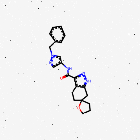 O=C(Nc1cnn(Cc2ccccc2)c1)c1n[nH]c2c1CCC1(CCCO1)C2